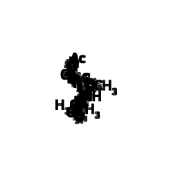 CC(=O)N1CCN(C(=O)C2CCN(CCc3c(-c4cc(C)cc(C)c4)[nH]c4sc(C(C)(C)CC5C6CCC5C(=O)N6)cc34)CC2)CC1